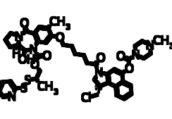 Cc1cc2c(cc1OCCCCCC(=O)N1C[C@@H](CCl)c3c1cc(OC(=O)N1CCN(C)CC1)c1ccccc31)N(C(=O)OCC(C)SSc1ccccn1)C(O)[C@@H]1CCCN1C2=O